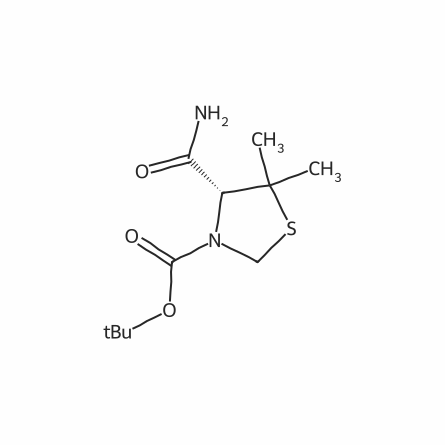 CC(C)(C)OC(=O)N1CSC(C)(C)[C@H]1C(N)=O